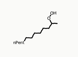 CCCCCCCCCCCC(C)OO